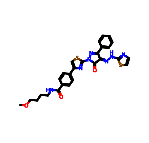 COCCCCNC(=O)c1ccc(-c2csc(N3N=C(c4ccccc4)/C(=N\Nc4nccs4)C3=O)n2)cc1